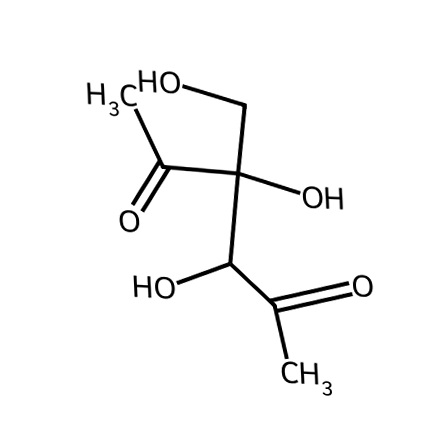 CC(=O)C(O)C(O)(CO)C(C)=O